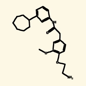 COc1cc(CC(=O)Nc2cccc(C3CCCCCC3)c2)ccc1OCCN